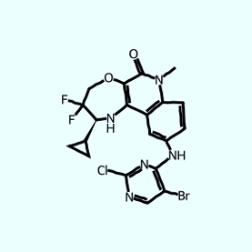 Cn1c(=O)c2c(c3cc(Nc4nc(Cl)ncc4Br)ccc31)N[C@@H](C1CC1)C(F)(F)CO2